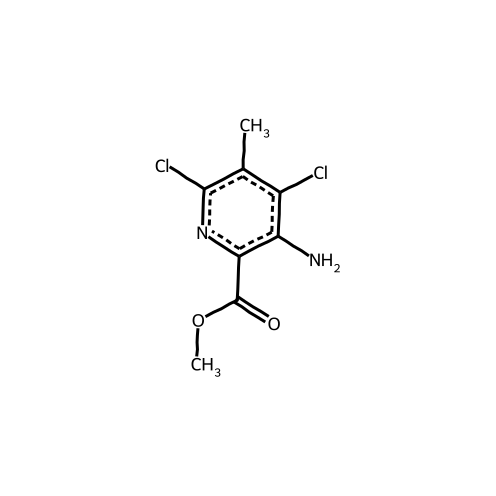 COC(=O)c1nc(Cl)c(C)c(Cl)c1N